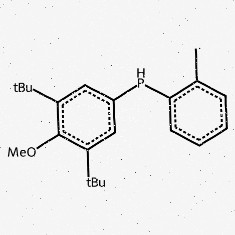 [CH2]c1ccccc1Pc1cc(C(C)(C)C)c(OC)c(C(C)(C)C)c1